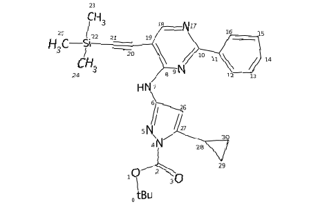 CC(C)(C)OC(=O)n1nc(Nc2nc(-c3ccccc3)ncc2C#C[Si](C)(C)C)cc1C1CC1